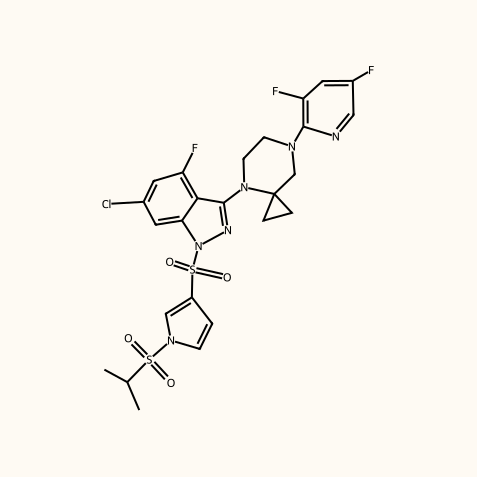 CC(C)S(=O)(=O)n1ccc(S(=O)(=O)n2nc(N3CCN(c4ncc(F)cc4F)CC34CC4)c3c(F)cc(Cl)cc32)c1